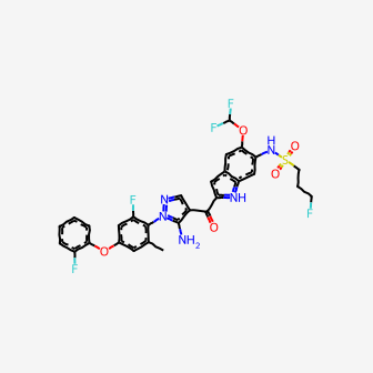 Cc1cc(Oc2ccccc2F)cc(F)c1-n1ncc(C(=O)c2cc3cc(OC(F)F)c(NS(=O)(=O)CCCF)cc3[nH]2)c1N